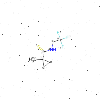 CC1(C(=S)NCC(F)(F)F)CC1